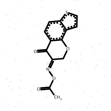 CC(=O)O/N=C1\COc2c(ccc3sccc23)C1=O